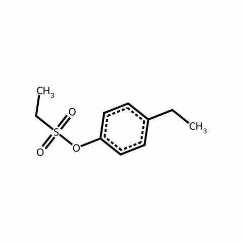 CCc1ccc(OS(=O)(=O)CC)cc1